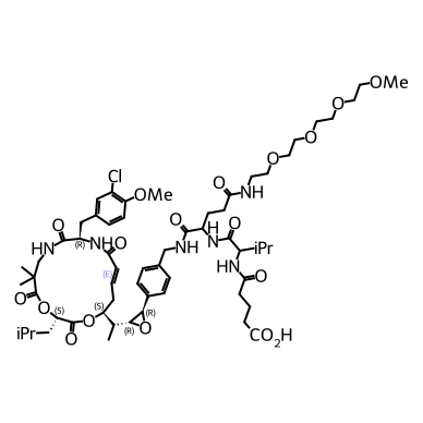 COCCOCCOCCOCCNC(=O)CCC(NC(=O)C(NC(=O)CCCC(=O)O)C(C)C)C(=O)NCc1ccc([C@H]2O[C@@H]2C(C)[C@@H]2C/C=C/C(=O)N[C@H](Cc3ccc(OC)c(Cl)c3)C(=O)NCC(C)(C)C(=O)O[C@@H](CC(C)C)C(=O)O2)cc1